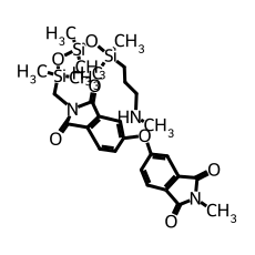 CNCCC[Si](C)(C)O[Si](C)(C)O[Si](C)(C)CN1C(=O)c2ccc(Oc3ccc4c(c3)C(=O)N(C)C4=O)cc2C1=O